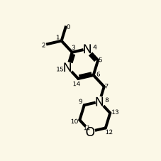 CC(C)c1ncc(CN2CCOCC2)cn1